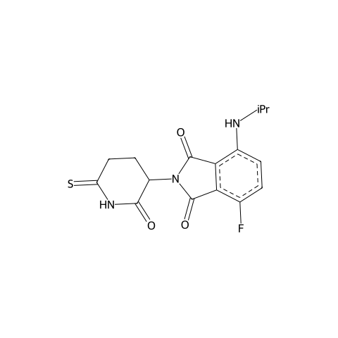 CC(C)Nc1ccc(F)c2c1C(=O)N(C1CCC(=S)NC1=O)C2=O